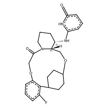 O=C1COc2cccc(F)c2C2CCC(CC2)OC[C@H]2[C@@H](Nc3cccc(=O)[nH]3)CCCN12